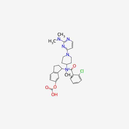 CN(C)c1nccc(N2CCC([N+](C)(C(=O)c3ccccc3Cl)C3CCc4ccc(OC(=O)O)cc43)CC2)n1